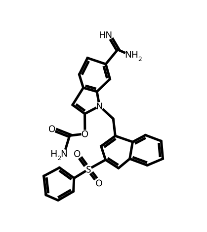 N=C(N)c1ccc2cc(OC(N)=O)n(Cc3cc(S(=O)(=O)c4ccccc4)cc4ccccc34)c2c1